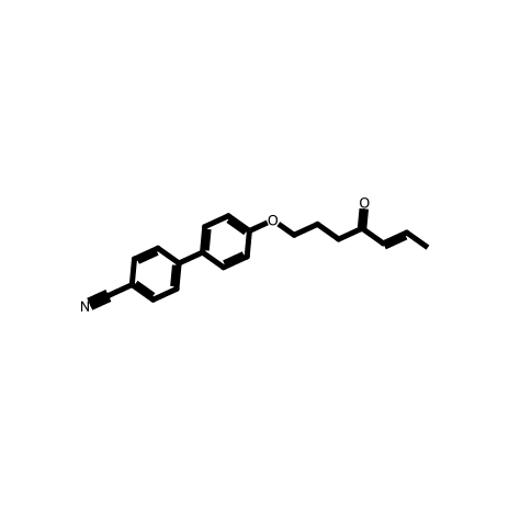 CC=CC(=O)CCCOc1ccc(-c2ccc(C#N)cc2)cc1